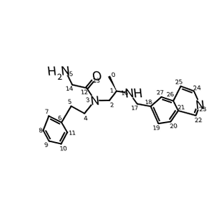 C[C@H](CN(CCc1ccccc1)C(=O)CN)NCc1ccc2cnccc2c1